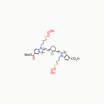 COC(=O)c1ccc2c(c1)C(C)(C)/C(=C\C=C1/CCCC(/C=C/C3=[N+](CCCCSOOO)c4ccc(C(=O)O)cc4C3(C)C)=C1Cl)N2CCCCSOOO